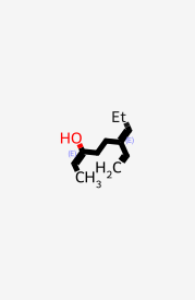 C=C/C(=C/CC)CC/C(O)=C\C